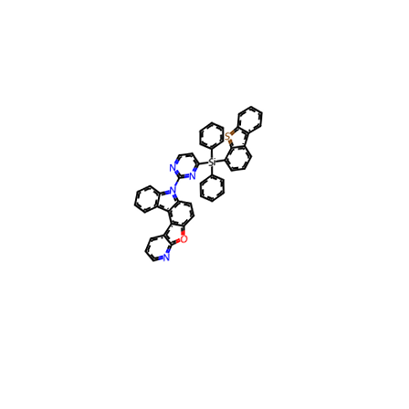 c1ccc([Si](c2ccccc2)(c2ccnc(-n3c4ccccc4c4c5c(ccc43)oc3ncccc35)n2)c2cccc3c2sc2ccccc23)cc1